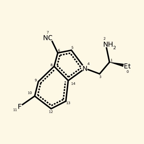 CC[C@H](N)Cn1cc(C#N)c2cc(F)ccc21